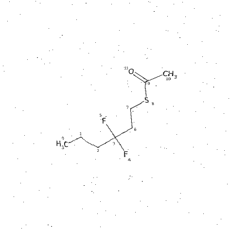 CCCC(F)(F)CCSC(C)=O